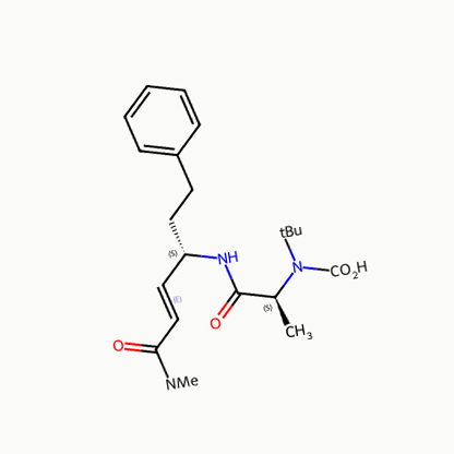 CNC(=O)/C=C/[C@H](CCc1ccccc1)NC(=O)[C@H](C)N(C(=O)O)C(C)(C)C